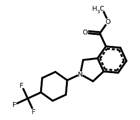 COC(=O)c1cccc2c1CN(C1CCC(C(F)(F)F)CC1)C2